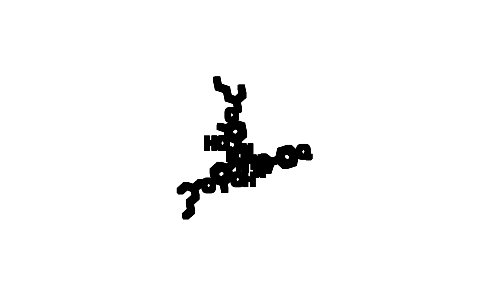 CCCCC(CC)COc1ccc(-c2nc(-c3ccc(OCC(CC)CCCC)c(C)c3O)nc(-n3cc(-c4ccc(OC)cc4)cn3)n2)c(O)c1C